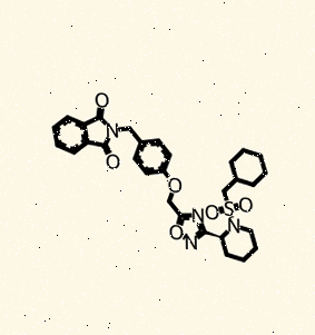 O=C1c2ccccc2C(=O)N1Cc1ccc(OCc2nc([C@@H]3CCCCN3S(=O)(=O)CC3CCCCC3)no2)cc1